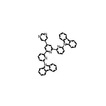 c1cc(-c2cc(-c3cncnc3)cc(-c3cccc(-n4c5ccccc5c5ccccc54)n3)n2)nc(-n2c3ccccc3c3ccccc32)c1